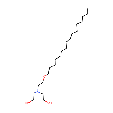 CCCCCCCCCCCCCCCCOCCN(CCO)CCO